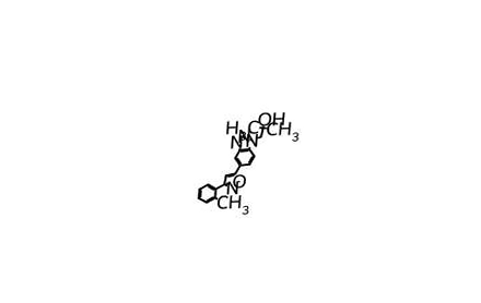 Cc1ccccc1-c1cc(-c2ccc3c(c2)nnn3CC(C)(C)O)on1